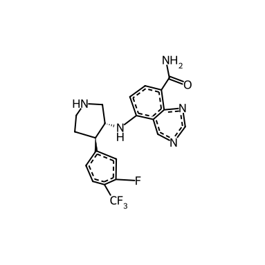 NC(=O)c1ccc(N[C@H]2CNCC[C@@H]2c2ccc(C(F)(F)F)c(F)c2)c2cncnc12